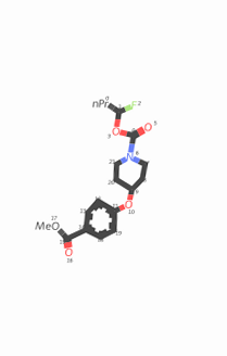 CCCC(F)OC(=O)N1CCC(Oc2ccc(C(=O)OC)cc2)CC1